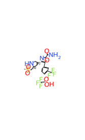 CS(=O)(=O)C[C@@H]1C[C@@H](c2nc(C(N)=O)oc2-c2cccc(C(F)(F)F)c2)CN1.O=C(O)C(F)(F)F